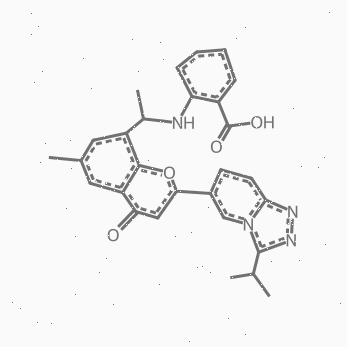 Cc1cc(C(C)Nc2ccccc2C(=O)O)c2oc(-c3ccc4nnc(C(C)C)n4c3)cc(=O)c2c1